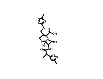 Cc1noc(C(C)C(=O)NC2C(=O)N3C(C(=O)O)=C(CSc4nnc(C)s4)CS[C@@H]23)n1